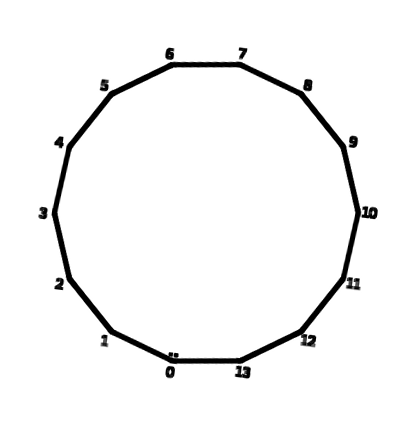 [C]1CCCCCCCCCCCCC1